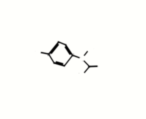 CC(C(=O)O)[S+]([O-])c1ccc(F)cc1